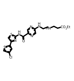 CCOC(=O)CCNCCNc1cnc(C(=O)Nc2nc(-c3cc(Cl)cs3)cs2)cn1